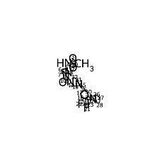 CS(=O)(=O)Nc1ccn(C(=O)N2CCN(Cc3ccc(C(F)(F)F)c(N4CCCC4)c3)CC2)n1